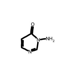 Nn1cnccc1=O